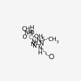 CCCSc1nc(NCC/C=C/c2ccccc2)c2nnn([C@@H]3C[C@H](C(=O)NCC)[C@@H](O)[C@H]3O)c2n1